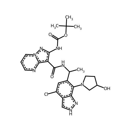 CC(NC(=O)c1c(NC(=O)OC(C)(C)C)nn2cccnc12)c1cc(Cl)c2c[nH]nc2c1N1CCC(O)C1